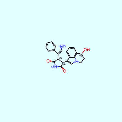 O=C1NC(=O)[C@H](c2cn3c4c(cccc24)[C@@H](O)CC3)[C@H]1c1c[nH]c2ccccc12